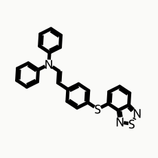 C(=CN(c1ccccc1)c1ccccc1)c1ccc(Sc2cccc3nsnc23)cc1